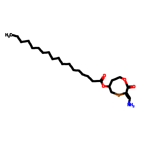 CCCCCCCCCCCCCCCCCC(=O)OC1CCOC(=O)C(=CN)SC1